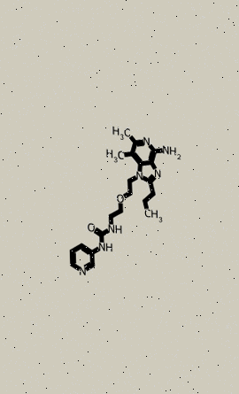 CCCc1nc2c(N)nc(C)c(C)c2n1CCOCCNC(=O)Nc1cccnc1